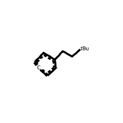 CC(C)(C)CCc1[c]cccc1